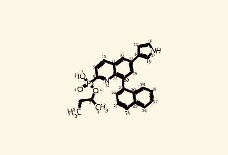 CCC(C)OP(=O)(O)c1ccc2cc(-c3cc[nH]c3)cc(-c3cccc4ccccc34)c2n1